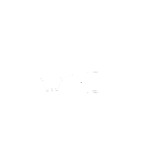 CC1C=CC=CC1(C)Cn1ccnc1